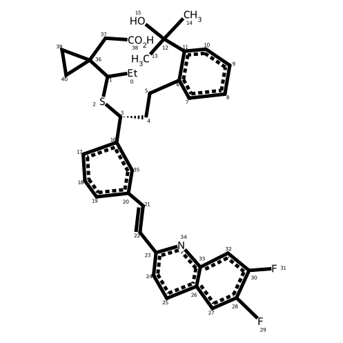 CCC(S[C@H](CCc1ccccc1C(C)(C)O)c1cccc(C=Cc2ccc3cc(F)c(F)cc3n2)c1)C1(CC(=O)O)CC1